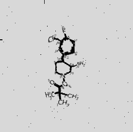 CC(C)(C)C(=O)ON1CCC(c2ccc(F)c(Cl)c2)C(N)C1